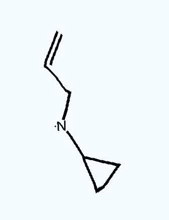 C=CC[N]C1CC1